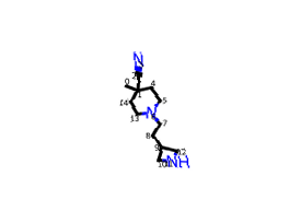 CC1(C#N)CCN(CCC2CNC2)CC1